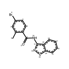 Cc1cc(Br)ccc1C(=O)Nc1nsc2ccccc12